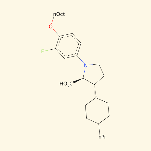 CCCCCCCCOc1ccc(N2CC[C@H](C3CCC(CCC)CC3)[C@H]2C(=O)O)cc1F